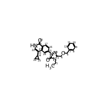 CCn1c(COCc2ccccc2)nn(-c2ccc3c(=O)[nH]cc(C4CC4)c3c2)c1=O